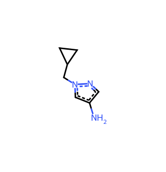 Nc1cnn(CC2CC2)c1